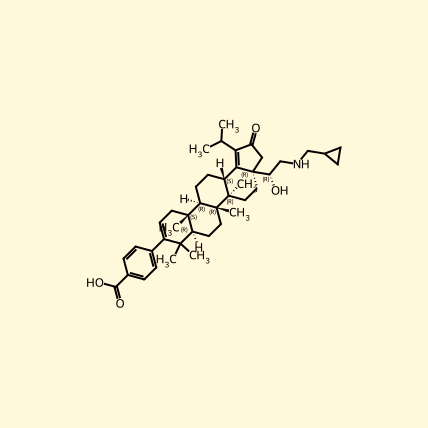 CC(C)C1=C2[C@H]3CC[C@@H]4[C@@]5(C)CC=C(c6ccc(C(=O)O)cc6)C(C)(C)[C@@H]5CC[C@@]4(C)[C@]3(C)CC[C@@]2([C@@H](O)CNCC2CC2)CC1=O